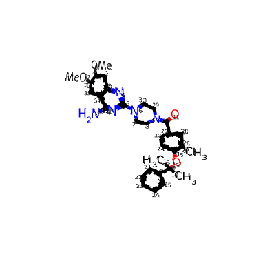 COc1cc2nc(N3CCN(C(=O)c4ccc(OC(C)(C)c5ccccc5)c(C)c4)CC3)nc(N)c2cc1OC